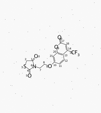 O=C1CSC(=O)N1CCOc1ccc2c(C(F)(F)F)cc(=O)oc2c1